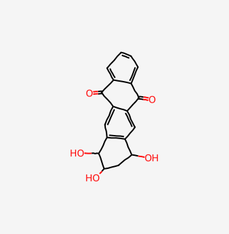 O=C1c2ccccc2C(=O)c2cc3c(cc21)C(O)CC(O)C3O